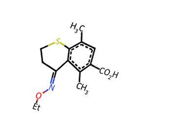 CCON=C1CCSc2c(C)cc(C(=O)O)c(C)c21